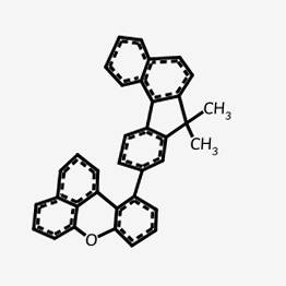 CC1(C)c2cc(-c3cccc4c3-c3cccc5cccc(c35)O4)ccc2-c2c1ccc1ccccc21